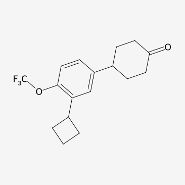 O=C1CCC(c2ccc(OC(F)(F)F)c(C3CCC3)c2)CC1